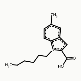 CCCCCCn1c(C(=O)O)cc2cc(C)ccc21